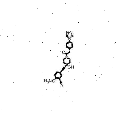 COc1ccc(C#CC2(O)CCN(C(=O)Cc3ccc(-n4cnnn4)cc3)CC2)cc1C#N